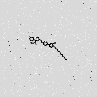 CCCCCCCCCCOc1ccc(-c2ccc(CCC(CC)C[C@@](F)(C(=O)O)C3CCCCC3)cc2)cc1Br